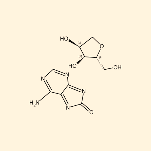 Nc1ncnc2c1=NC(=O)N=2.OC[C@H]1OC[C@H](O)[C@@H]1O